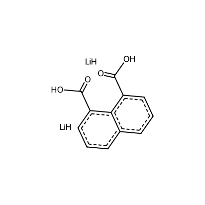 O=C(O)c1cccc2cccc(C(=O)O)c12.[LiH].[LiH]